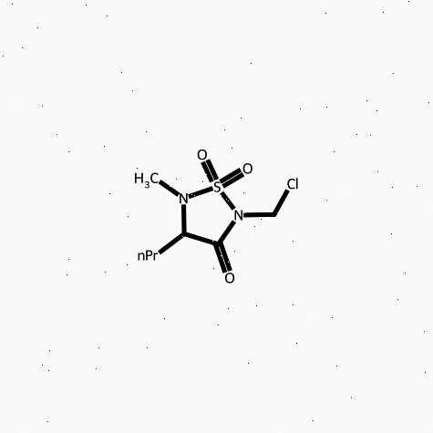 CCCC1C(=O)N(CCl)S(=O)(=O)N1C